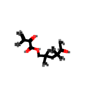 C=C(C)C(=O)C(=O)OCC(C)(C)CC(C)(C)C(C)=O